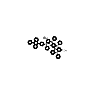 CC(C)(C)c1cc2c3c(c1)N(c1ccccc1)c1cc4c(cc1B3c1ccccc1N2c1ccccc1)B1c2ccccc2N(c2ccc(-c3c5ccccc5c(-c5ccccc5)c5ccccc35)cc2)c2cc(C(C)(C)C)cc(c21)N4c1ccccc1